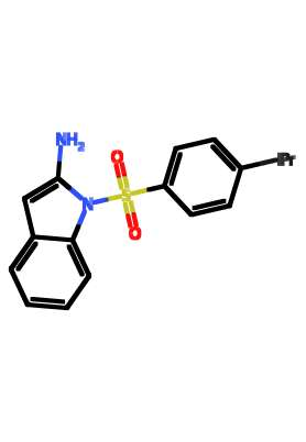 CC(C)c1ccc(S(=O)(=O)n2c(N)cc3ccccc32)cc1